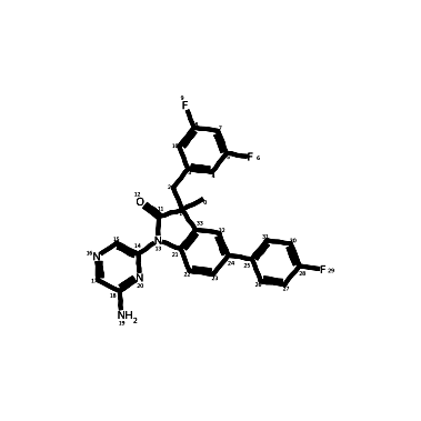 CC1(Cc2cc(F)cc(F)c2)C(=O)N(c2cncc(N)n2)c2ccc(-c3ccc(F)cc3)cc21